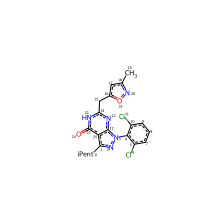 CCCC(C)c1nn(-c2c(Cl)cccc2Cl)c2nc(Cc3cc(C)no3)[nH]c(=O)c12